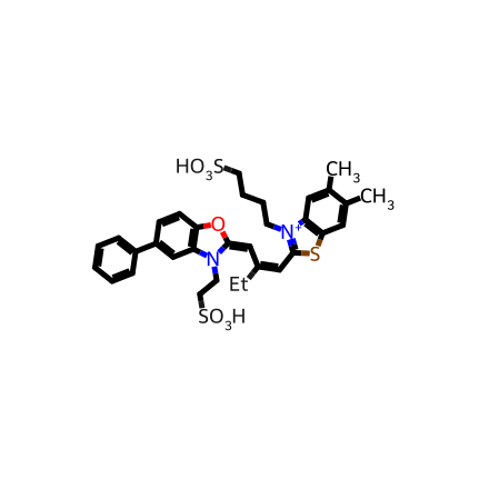 CCC(=Cc1sc2cc(C)c(C)cc2[n+]1CCCCS(=O)(=O)O)C=C1Oc2ccc(-c3ccccc3)cc2N1CCS(=O)(=O)O